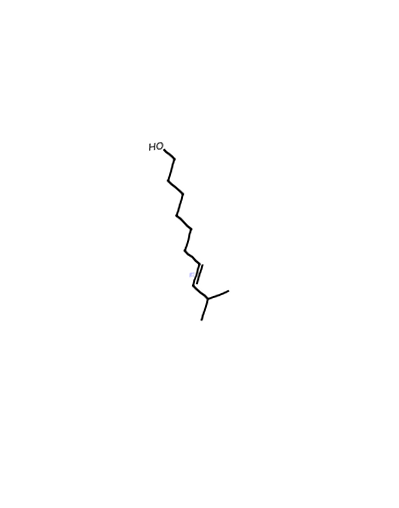 CC(C)/C=C/CCCCCCO